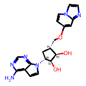 Nc1ncnc2c1ccn2[C@@H]1C[C@H](COc2ccn3ccnc3c2)[C@@H](O)[C@H]1O